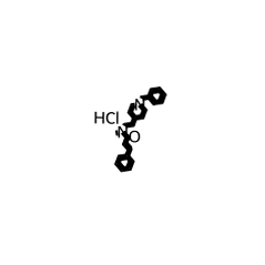 CN(CCC1CCN(Cc2ccccc2)CC1)C(=O)/C=C/c1ccccc1.Cl